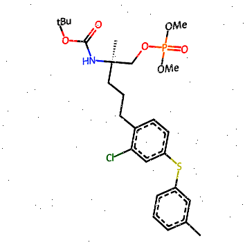 COP(=O)(OC)OC[C@@](C)(CCCc1ccc(Sc2cccc(C)c2)cc1Cl)NC(=O)OC(C)(C)C